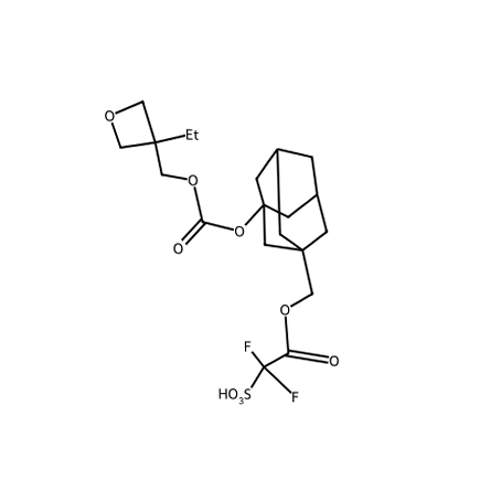 CCC1(COC(=O)OC23CC4CC(CC(COC(=O)C(F)(F)S(=O)(=O)O)(C4)C2)C3)COC1